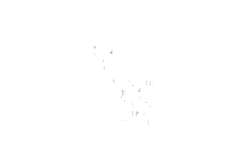 CCn1c(Br)nc2c(N)nc(OCCc3ccccc3)nc21